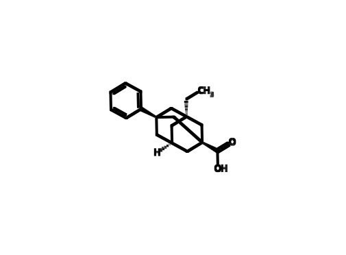 CC[C@@]12C[C@H]3C[C@@](C(=O)O)(C1)C[C@](c1ccccc1)(C3)C2